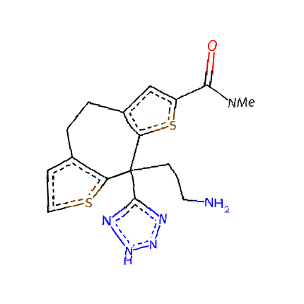 CNC(=O)c1cc2c(s1)C(CCN)(c1nn[nH]n1)c1sccc1CC2